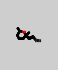 CCCC/C=C/[Si]1(C)CCCC(C)O1